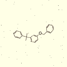 [CH2]C(C)(c1ccccc1)c1cccc(OCc2ccccc2)c1